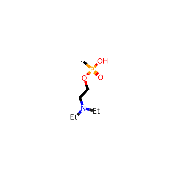 [CH2]P(=O)(O)OCCN(CC)CC